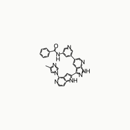 Cc1cn(-c2nccc3[nH]c(-c4n[nH]c5ncc(-c6cncc(NC(=O)c7ccccc7)c6)cc45)cc23)cn1